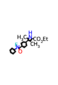 CCOC(=O)c1[nH]c(C)c(-c2ccc(C(=O)N(F)c3ccccc3)cc2)c1C